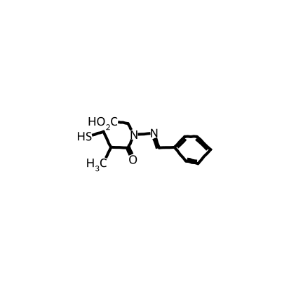 CC(CS)C(=O)N(CC(=O)O)N=Cc1ccccc1